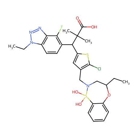 CCC1CN(Cc2cc(C(c3ccc4c(nnn4CC)c3F)C(C)(C)C(=O)O)sc2Cl)S(O)(O)c2ccccc2O1